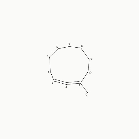 CC1=C=CCCCCCCC1